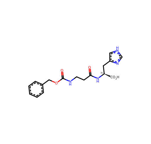 O=C(CCNC(=O)OCc1ccccc1)N[C@@H](Cc1c[nH]cn1)C(=O)O